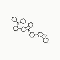 c1ccc(N2c3ccccc3-c3ccc4c(c3-c3ccccc32)c2ccccc2n4-c2cccc(-c3ccc4sc5ccccc5c4c3)c2)cc1